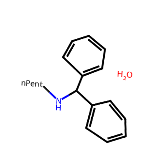 CCCCCNC(c1ccccc1)c1ccccc1.O